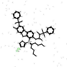 CCCC[C](CCCC)=[Zr+2]([C]1=CC=CC1)[c]1c(CC(C)C(C)C(C)(C)c2ccccc2)ccc2c1Cc1cc(C)c(C(C)(C)c3ccccc3)cc1-2.[Cl-].[Cl-]